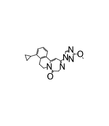 COc1ncn(C2=NCC(=O)N3CCc4c(cccc4C4CC4)C3=C2)n1